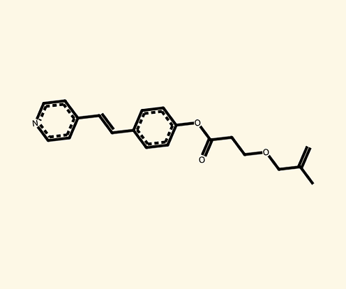 C=C(C)COCCC(=O)Oc1ccc(/C=C/c2ccncc2)cc1